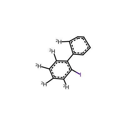 [2H]c1ccccc1-c1c([2H])c([2H])c([2H])c([2H])c1I